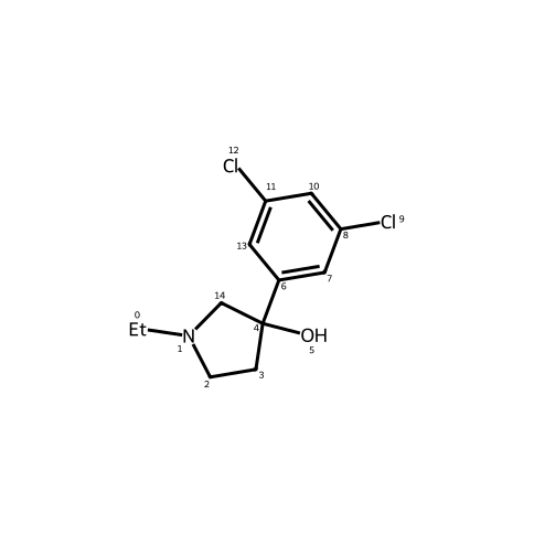 CCN1CCC(O)(c2cc(Cl)cc(Cl)c2)C1